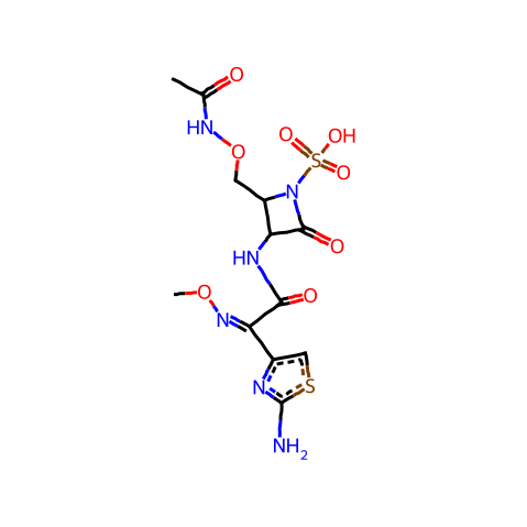 CON=C(C(=O)NC1C(=O)N(S(=O)(=O)O)C1CONC(C)=O)c1csc(N)n1